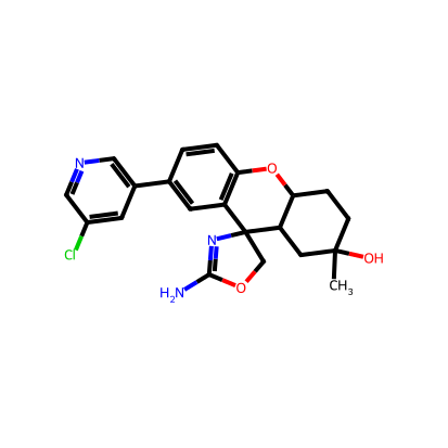 CC1(O)CCC2Oc3ccc(-c4cncc(Cl)c4)cc3C3(COC(N)=N3)C2C1